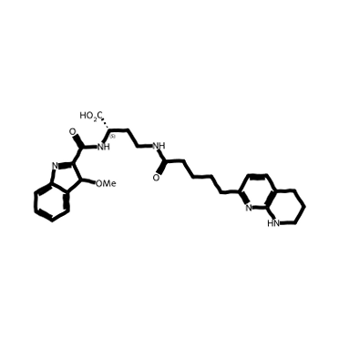 COC1C(C(=O)N[C@@H](CCNC(=O)CCCCc2ccc3c(n2)NCCC3)C(=O)O)=Nc2ccccc21